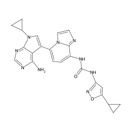 Nc1ncnc2c1c(-c1ccc(NC(=O)Nc3cc(C4CC4)on3)c3nccn13)cn2C1CC1